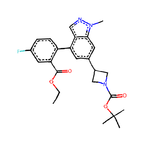 CCOC(=O)c1cc(F)ccc1-c1cc(C2CN(C(=O)OC(C)(C)C)C2)cc2c1cnn2C